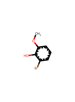 COc1cccc(Br)c1O